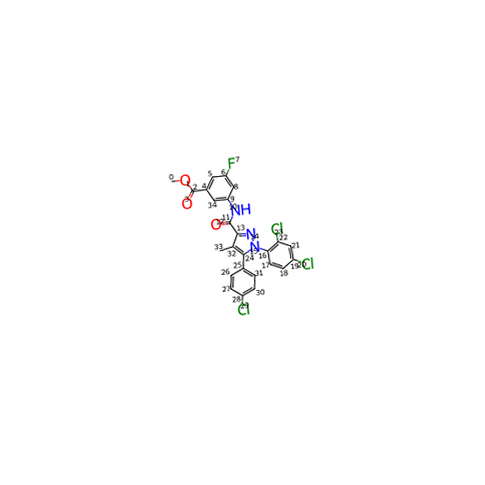 COC(=O)c1cc(F)cc(NC(=O)c2nn(-c3ccc(Cl)cc3Cl)c(-c3ccc(Cl)cc3)c2C)c1